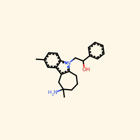 Cc1ccc2c(c1)c1c(n2CC(O)c2ccccc2)CCCC(C)(N)C1